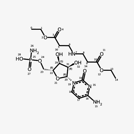 CCOC(=O)CCNCCC(=O)OCC.Nc1ccn([C@@H]2O[C@H](COP(N)(=O)O)[C@@H](O)[C@H]2O)c(=O)n1